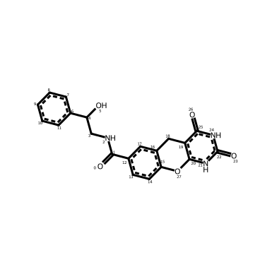 O=C(NCC(O)c1ccccc1)c1ccc2c(c1)Cc1c([nH]c(=O)[nH]c1=O)O2